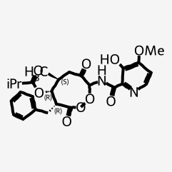 COc1ccnc(C(=O)NC2OOC(=O)[C@H](Cc3ccccc3)[C@H](OC(=O)C(C)C)[C@@H](C)CC2=O)c1O